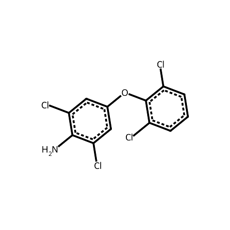 Nc1c(Cl)cc(Oc2c(Cl)cccc2Cl)cc1Cl